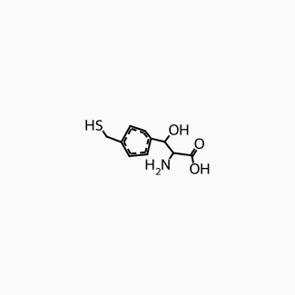 NC(C(=O)O)C(O)c1ccc(CS)cc1